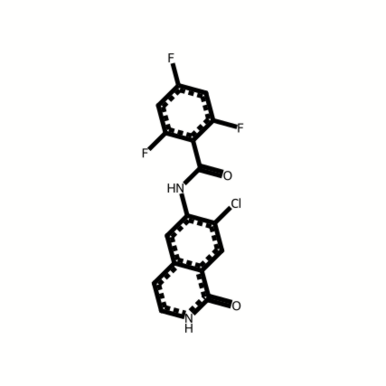 O=C(Nc1cc2cc[nH]c(=O)c2cc1Cl)c1c(F)cc(F)cc1F